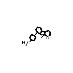 Cc1ccc(-c2cccc3c2sc2ncccc23)cc1